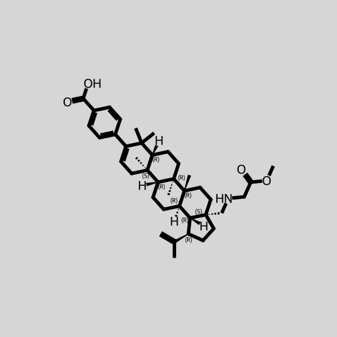 C=C(C)[C@@H]1CC[C@]2(CNCC(=O)OC)CC[C@]3(C)[C@H](CC[C@@H]4[C@@]5(C)CC=C(c6ccc(C(=O)O)cc6)C(C)(C)[C@@H]5CC[C@]43C)[C@@H]12